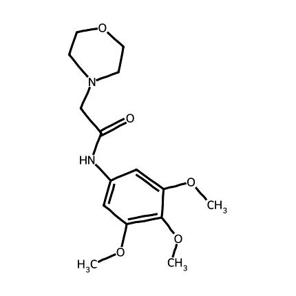 COc1cc(NC(=O)CN2CCOCC2)cc(OC)c1OC